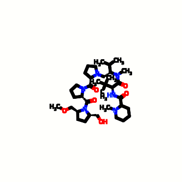 COC[C@@H]1CC[C@@H](CO)N1C(=O)[C@@H]1CCCN1C(=O)[C@@H]1CCCN1C[C@H](C(C)C)N(C)C(=O)[C@@H](NC(=O)C1CCCCN1C)C(C)(C)C